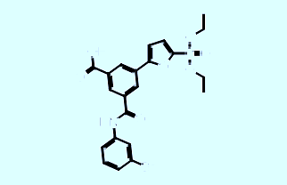 CCOP(=O)(OCC)c1ccc(-c2cc(C(=O)O)cc(C(=O)Nc3cccc(Br)c3)c2)o1